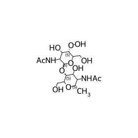 CC(=O)NC1C(O)[C@H](OO)C(CO)O[C@H]1O[C@@H]1C(CO)O[C@@H](C)C(NC(C)=O)C1O